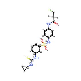 CC(C)(CF)C(=O)Nc1ccc(NS(=O)(=O)c2cccc(NC(=S)NC3CC3)c2)cc1